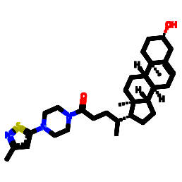 Cc1cc(N2CCN(C(=O)CCC(C)[C@H]3CC[C@H]4[C@@H]5CC=C6C[C@@H](O)CC[C@]6(C)[C@H]5CC[C@]34C)CC2)sn1